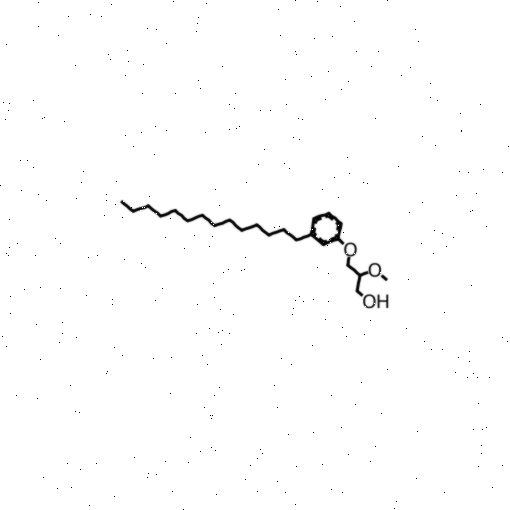 CCCCCCCCCCCCCCc1cccc(OCC(CO)OC)c1